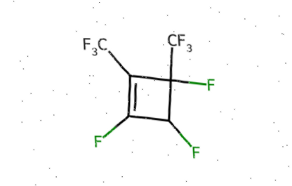 FC1=C(C(F)(F)F)C(F)(C(F)(F)F)C1F